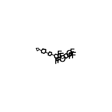 Fc1cc(-c2ccc(-c3ccc(C4CCC4)cc3)cc2)cc(F)c1C(F)(F)Oc1ccc(OC(F)(F)F)cc1